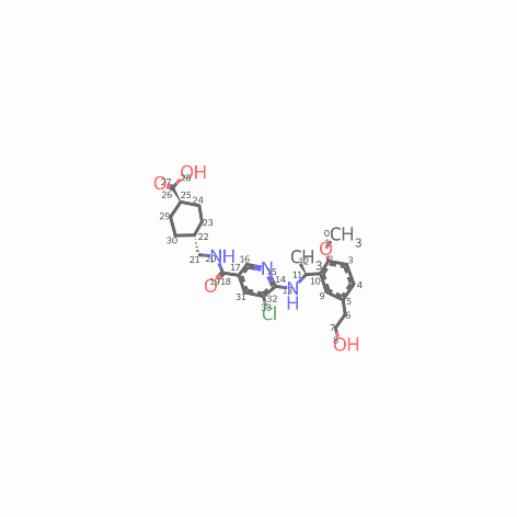 COc1ccc(CCO)cc1[C@H](C)Nc1ncc(C(=O)NC[C@H]2CC[C@H](C(=O)O)CC2)cc1Cl